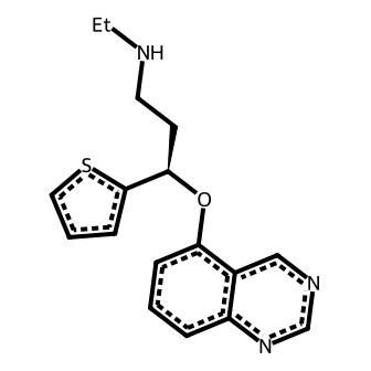 CCNCC[C@@H](Oc1cccc2ncncc12)c1cccs1